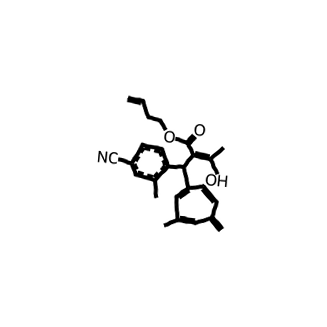 C=CCCOC(=O)C(=C(C)C)C(C1=CC(C)=CC(=C)C=C1O)c1ccc(C#N)cc1C